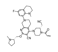 C=CC(=O)N1CCN(c2c(C#N)c(OC[C@@H]3CCCN3C)nc3c2CCN(c2cc(F)cc4c2N(C)CCC4)C3)C[C@@H]1CC#N